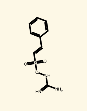 N=C(N)NOS(=O)(=O)C=Cc1ccccc1